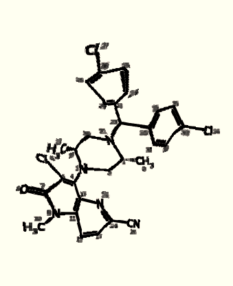 C[C@@H]1CN(c2c(Cl)c(=O)n(C)c3ccc(C#N)nc23)[C@@H](C)CN1C(c1ccc(Cl)cc1)c1ccc(Cl)cc1